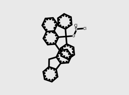 [Cl][Ti]([Cl])[O]C(c1ccccc1)(c1ccccc1)c1c(-c2cccc3c2Cc2ccccc2-3)ccc2ccccc12